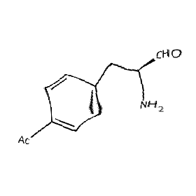 CC(=O)c1ccc(C[C@H](N)C=O)cc1